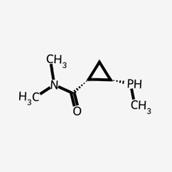 CP[C@H]1C[C@H]1C(=O)N(C)C